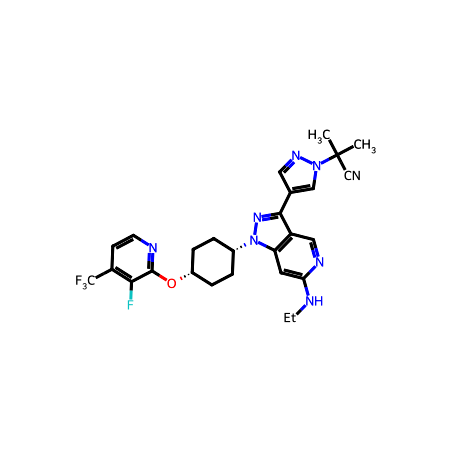 CCNc1cc2c(cn1)c(-c1cnn(C(C)(C)C#N)c1)nn2[C@H]1CC[C@@H](Oc2nccc(C(F)(F)F)c2F)CC1